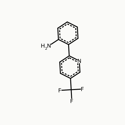 Nc1ccccc1-c1ccc(C(F)(F)F)cn1